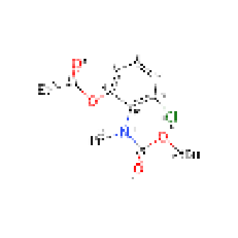 CCC(=O)Oc1cccc(Cl)c1N(C(=O)OC(C)(C)C)C(C)C